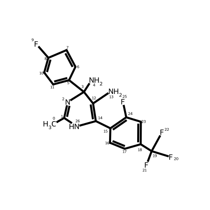 CC1=NC(N)(c2ccc(F)cc2)C(N)=C(c2ccc(C(F)(F)F)cc2F)N1